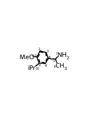 COc1ccc(C(C)N)cc1C(C)C